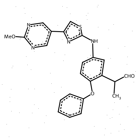 COc1ncc(-c2csc(Nc3ccc(Oc4ccccc4)c(C(C)C=O)c3)n2)cn1